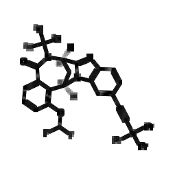 [2H]C([2H])([2H])N1C(=O)c2cccc(OC(F)F)c2[C@H]2C[C@@H]1c1nc3ccc(C#C[Si](C(C)C)(C(C)C)C(C)C)cc3n12